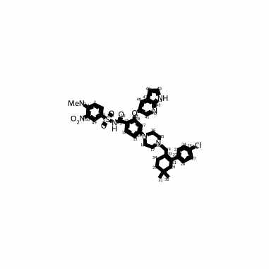 CNc1ccc(S(=O)(=O)NC(=O)c2ccc(N3CCN(CC4=C(c5ccc(Cl)cc5)CC(C)(C)CC4)CC3)cc2Oc2cnc3[nH]ccc3c2)cc1[N+](=O)[O-]